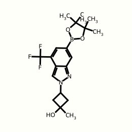 CC1(O)CC(n2cc3c(C(F)(F)F)cc(B4OC(C)(C)C(C)(C)O4)cc3n2)C1